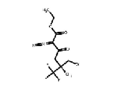 CCOC(=O)C(=[N+]=[N-])C(=O)C[C@](C)(CO)C(F)(F)F